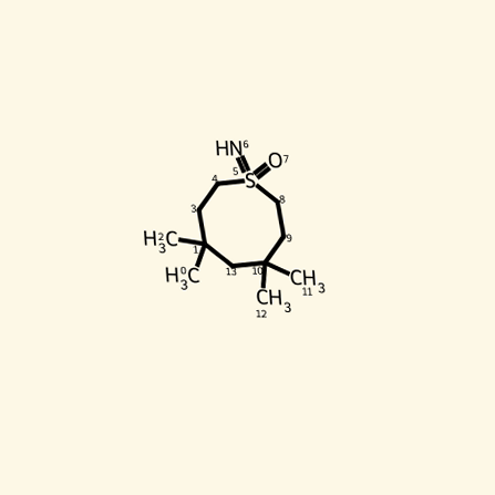 CC1(C)CCS(=N)(=O)CCC(C)(C)C1